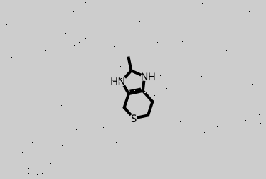 CC1NC2=C(CSCC2)N1